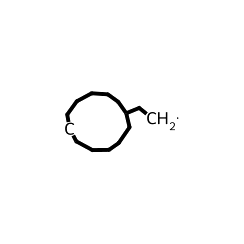 [CH2]CC1CCCCCCCCCCC1